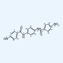 O=Nc1ccc(C(=O)Nc2ccc(NC(=O)c3ccc([N+](=O)[O-])cc3)cc2)cc1